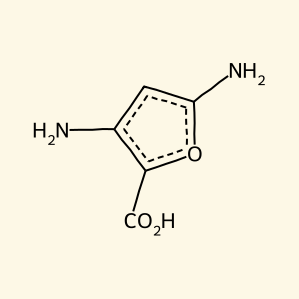 Nc1cc(N)c(C(=O)O)o1